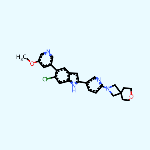 COc1cncc(-c2cc3cc(-c4ccc(N5CC6(CCOCC6)C5)nc4)[nH]c3cc2Cl)c1